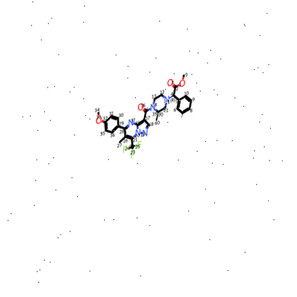 COC(=O)[C@@H](c1ccccc1)N1CCN(C(=O)c2cnn3c(C(F)(F)F)c(C)c(-c4ccc(OC)cc4)nc23)[C@H](C)C1